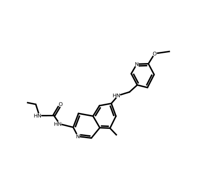 CCNC(=O)Nc1cc2cc(NCc3ccc(OC)nc3)cc(C)c2cn1